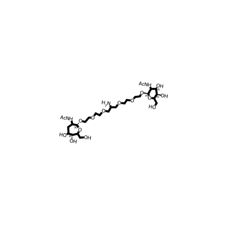 CC(=O)NC1CC(O)[C@@H](O)C(CO)O[C@H]1OCCOCCOCC(N)COCCOCCO[C@@H]1OC(CO)[C@H](O)[C@H](O)C1NC(C)=O